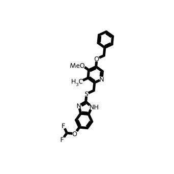 COc1c(OCc2ccccc2)cnc(CSc2nc3cc(OC(F)F)ccc3[nH]2)c1C